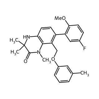 COc1ccc(F)cc1-c1ccc2c(c1COc1cccc(C)c1)N(C)C(=O)C(C)(C)N2